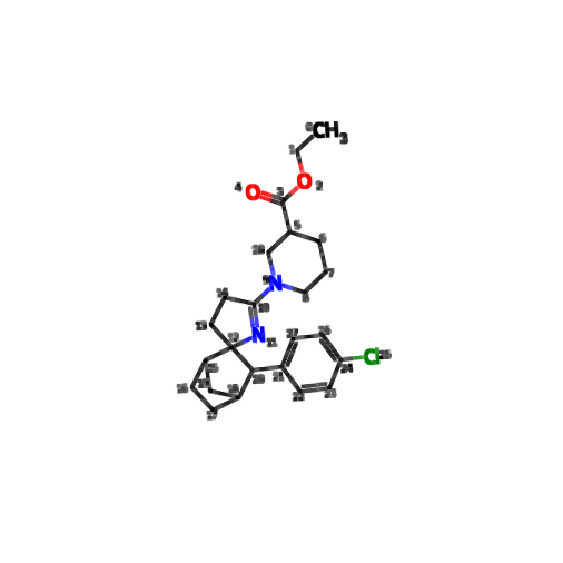 CCOC(=O)C1CCCN(C2=NC3(CC2)C2CCC(C2)C3c2ccc(Cl)cc2)C1